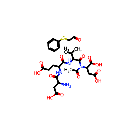 CC(=O)N(C(=O)C(NC(=O)C(CCC(=O)O)NC(=O)C(N)CC(=O)O)C(C)C)C(CC(=O)O)C(=O)O.O=CCSc1ccccc1